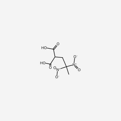 CC(CC(C(=O)O)C(=O)O)([N+](=O)[O-])[N+](=O)[O-]